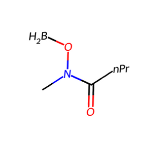 BON(C)C(=O)CCC